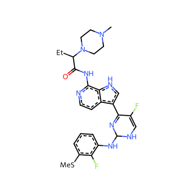 CCC(C(=O)Nc1nccc2c(C3=NC(Nc4cccc(SC)c4F)NC=C3F)c[nH]c12)N1CCN(C)CC1